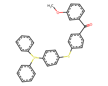 COc1cccc(C(=O)c2ccc(Sc3ccc([S+](c4ccccc4)c4ccccc4)cc3)cc2)c1